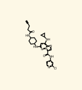 C#CCCC(=O)NC1CCC(Nc2cc(NC3CC3)c3ncc(C(=O)Nc4ccnc(Cl)c4)n3n2)CC1